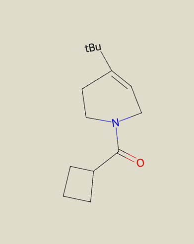 CC(C)(C)C1=CCN(C(=O)C2CCC2)CC1